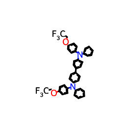 FC(F)(F)COc1ccc(N(c2ccccc2)c2ccc(-c3ccc(N(c4ccccc4)c4ccc(OCC(F)(F)F)cc4)cc3)cc2)cc1